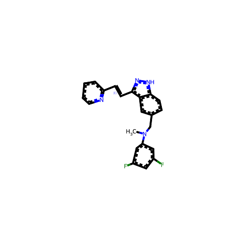 CN(Cc1ccc2[nH]nc(/C=C/c3ccccn3)c2c1)c1cc(F)cc(F)c1